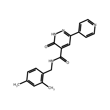 Cc1ccc(CNC(=O)c2cc(-c3ccncc3)n[nH]c2=O)c(C)c1